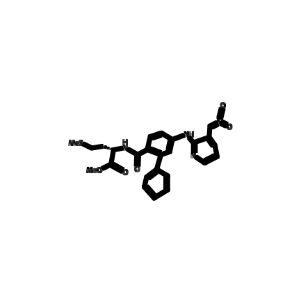 COC(=O)[C@H](CCSC)NC(=O)c1ccc(Nc2ncccc2C=S(=O)=O)cc1-c1ccccc1